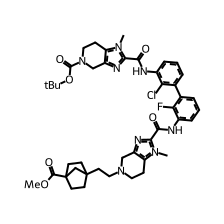 COC(=O)C12CCC(CCN3CCc4c(nc(C(=O)Nc5cccc(-c6cccc(NC(=O)c7nc8c(n7C)CCN(C(=O)OC(C)(C)C)C8)c6Cl)c5F)n4C)C3)(CC1)C2